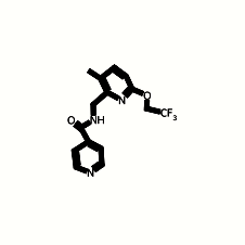 Cc1ccc(OCC(F)(F)F)nc1CNC(=O)c1ccncc1